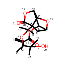 C=C(C)C(=O)OC1C2CC3(C(C)(C)OC(C)C(C)(C)O)C(=O)OC1C3O2